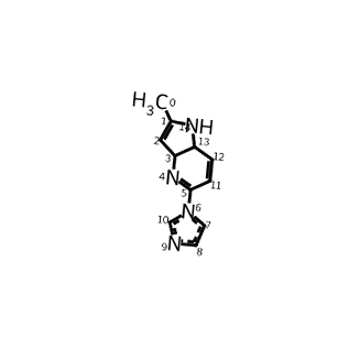 CC1=CC2N=C(n3ccnc3)C=CC2N1